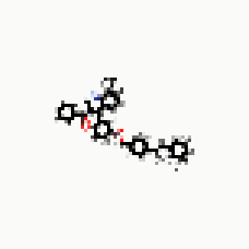 O=C(c1ccccc1)c1cnc2c(C(F)(F)F)cccc2c1-c1cccc(OCc2ccc(C(Cc3ccccc3)C(=O)O)cc2)c1